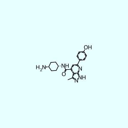 Cc1n[nH]c2nc(-c3ccc(O)cc3)cc(C(=O)N[C@H]3CC[C@H](N)CC3)c12